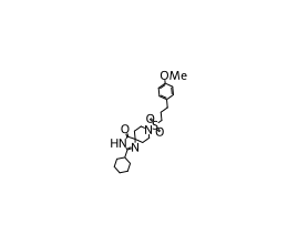 COc1ccc(CCCS(=O)(=O)N2CCC3(CC2)N=C(C2CCCCC2)NC3=O)cc1